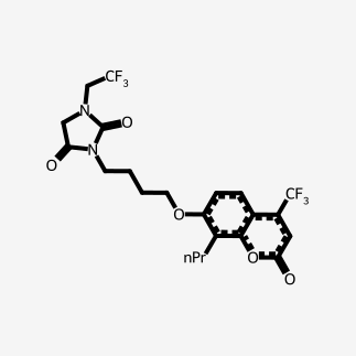 CCCc1c(OCCCCN2C(=O)CN(CC(F)(F)F)C2=O)ccc2c(C(F)(F)F)cc(=O)oc12